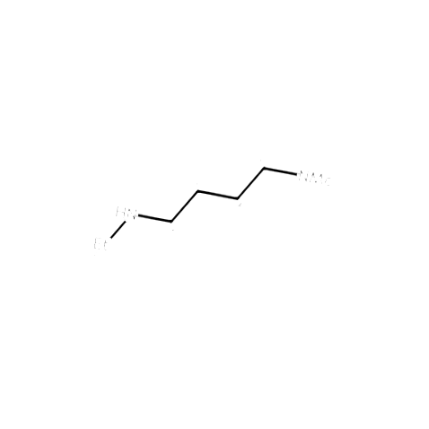 CCNCCCC[N]C